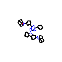 c1ccc(-c2nc(-c3cccc(N4C5CC6CC(C5)CC4C6)c3)nc(-n3c4ccccc4c4ccc(N5C6CC7CC(C6)CC5C7)cc43)n2)cc1